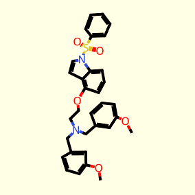 COc1cccc(CN(CCOc2cccc3c2ccn3S(=O)(=O)c2ccccc2)Cc2cccc(OC)c2)c1